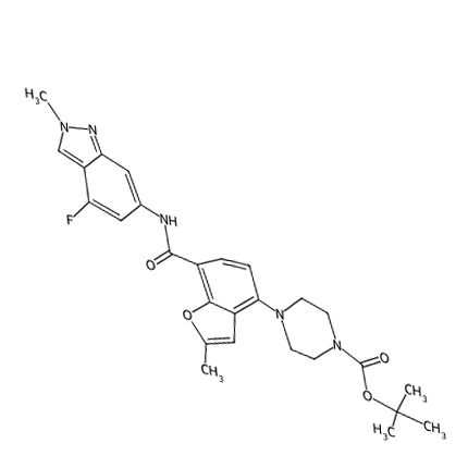 Cc1cc2c(N3CCN(C(=O)OC(C)(C)C)CC3)ccc(C(=O)Nc3cc(F)c4cn(C)nc4c3)c2o1